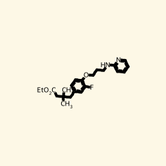 CCOC(=O)CC(C)(C)Cc1ccc(OCCCNc2ccccn2)c(F)c1